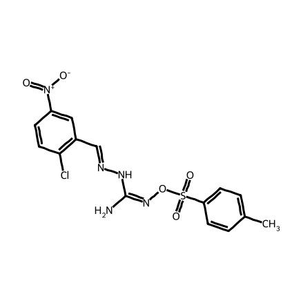 Cc1ccc(S(=O)(=O)ON=C(N)NN=Cc2cc([N+](=O)[O-])ccc2Cl)cc1